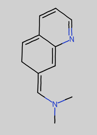 CN(C)/C=C1\C=c2ncccc2=CC1